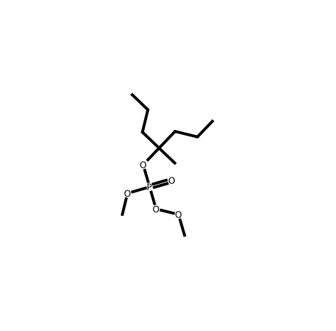 CCCC(C)(CCC)OP(=O)(OC)OOC